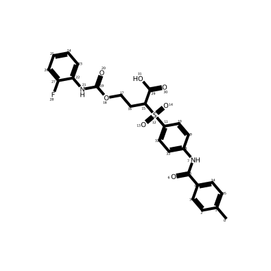 Cc1ccc(C(=O)Nc2ccc(S(=O)(=O)C(CCOC(=O)Nc3ccccc3F)C(=O)O)cc2)cc1